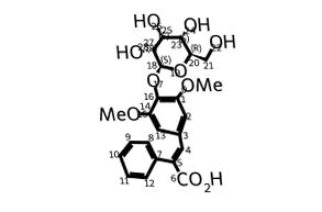 COc1cc(C=C(C(=O)O)c2ccccc2)cc(OC)c1O[C@@H]1O[C@H](CO)[C@@H](O)[C@H](O)[C@H]1O